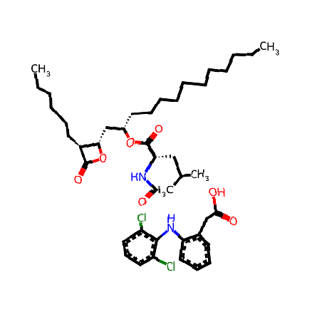 CCCCCCCCCCC[C@@H](C[C@@H]1OC(=O)[C@H]1CCCCCC)OC(=O)[C@H](CC(C)C)NC=O.O=C(O)Cc1ccccc1Nc1c(Cl)cccc1Cl